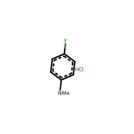 CNc1ccc(F)cc1.Cl